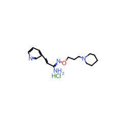 Cl.NC(C=Cc1cccnc1)=NOCCCN1CCCCC1